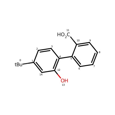 CC(C)(C)c1ccc(-c2ccccc2C(=O)O)c(O)c1